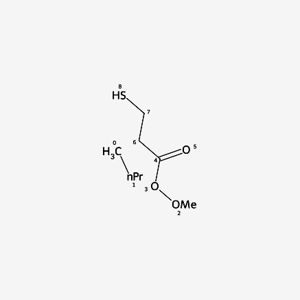 CCCC.COOC(=O)CCS